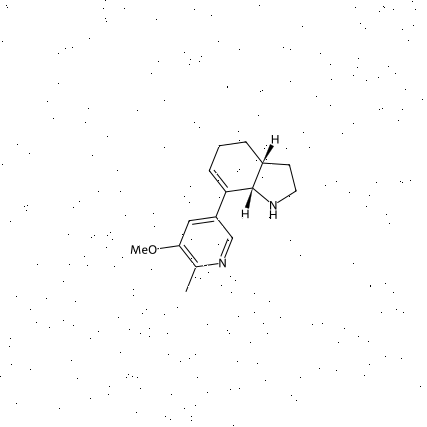 COc1cc(C2=CCC[C@@H]3CCN[C@H]23)cnc1C